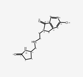 O=C1CCC(CNCCN2Cc3cc(Cl)ncc3C2=O)N1